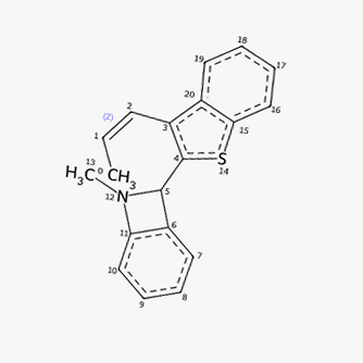 C/C=C\c1c(C2c3ccccc3N2C)sc2ccccc12